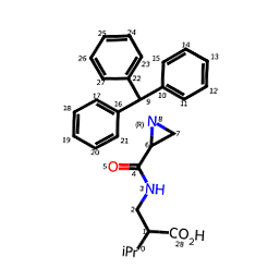 CC(C)C(CNC(=O)C1C[N@]1C(c1ccccc1)(c1ccccc1)c1ccccc1)C(=O)O